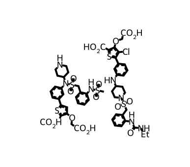 CCNC(=O)Nc1ccccc1CS(=O)(=O)N1CCC(Nc2cccc(-c3sc(C(=O)O)c(OCC(=O)O)c3Cl)c2)CC1.CS(=O)(=O)Nc1ccccc1CS(=O)(=O)N(c1cccc(-c2cc(OCC(=O)O)c(C(=O)O)s2)c1)C1CCNCC1